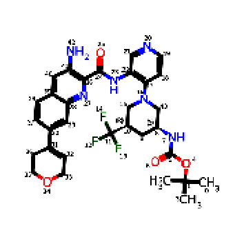 CC(C)(C)OC(=O)N[C@H]1C[C@@H](C(F)(F)F)CN(c2ccncc2NC(=O)c2nc3cc(C4=CCOCC4)ccc3cc2N)C1